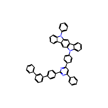 c1ccc(-c2cccc(-c3ccc(-c4nc(-c5ccccc5)cc(-c5ccc(-n6c7ccccc7c7cc8c(cc76)c6ccccc6n8-c6ccccc6)cc5)n4)cc3)c2)cc1